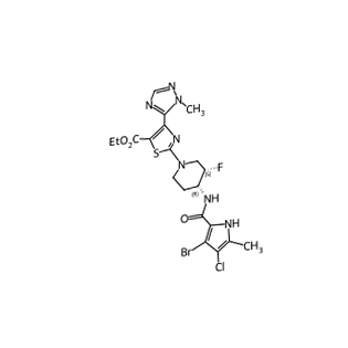 CCOC(=O)c1sc(N2CC[C@@H](NC(=O)c3[nH]c(C)c(Cl)c3Br)[C@@H](F)C2)nc1-c1ncnn1C